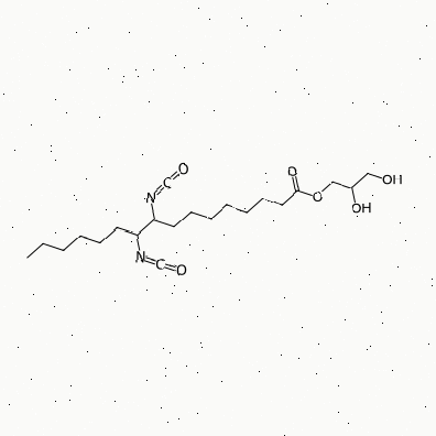 CCCCCCC(N=C=O)C(CCCCCCCC(=O)OCC(O)CO)N=C=O